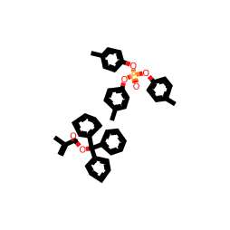 C=C(C)C(=O)OC(c1ccccc1)(c1ccccc1)c1ccccc1.Cc1ccc(OP(=O)(Oc2ccc(C)cc2)Oc2ccc(C)cc2)cc1